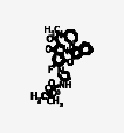 CN(C(=O)c1cn2c3c(c(N4CCC(NC(=O)OC(C)(C)C)C4)c(F)cc3c1=O)Oc1cc3ccccc3cc1-2)C1CCCCNC1